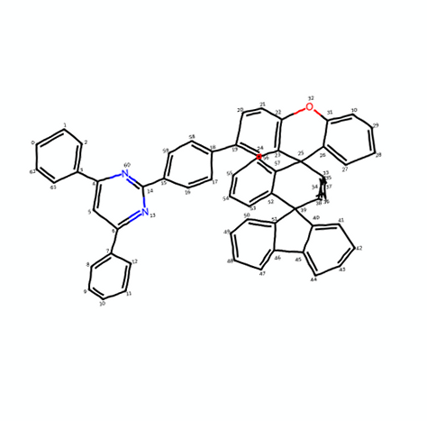 c1ccc(-c2cc(-c3ccccc3)nc(-c3ccc(-c4ccc5c(c4)C4(c6ccccc6O5)c5ccccc5C5(c6ccccc6-c6ccccc65)c5ccccc54)cc3)n2)cc1